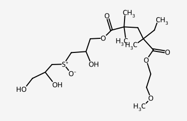 CCC(C)(CC(C)(C)C(=O)OCC(O)C[S+]([O-])CC(O)CO)C(=O)OCCOC